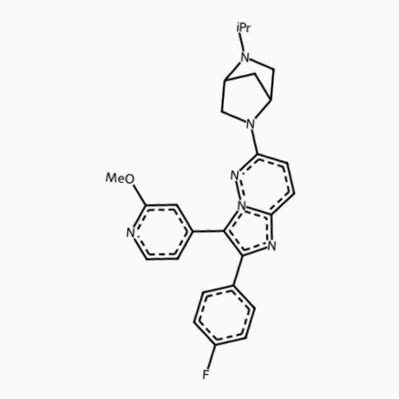 COc1cc(-c2c(-c3ccc(F)cc3)nc3ccc(N4CC5CC4CN5C(C)C)nn23)ccn1